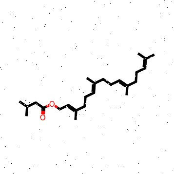 CC(C)=CCCC(C)=CCCC(C)=CCCC(C)=CCOC(=O)CC(C)C